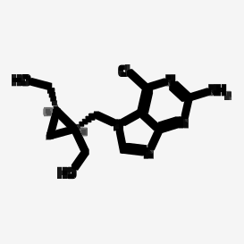 Nc1nc(Cl)c2c(ncn2C[C@]2(CO)C[C@@H]2CO)n1